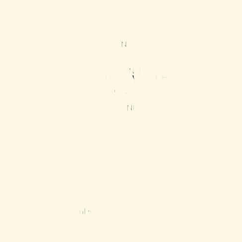 CCCCCCCCCCCCCCCCCCNC(=O)[C@@H](NC(=O)c1nccc2ccccc12)[C@@H](C)O